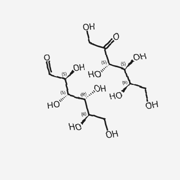 O=C(CO)[C@@H](O)[C@@H](O)[C@H](O)CO.O=C[C@@H](O)[C@@H](O)[C@H](O)[C@H](O)CO